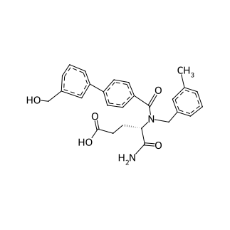 Cc1cccc(CN(C(=O)c2ccc(-c3cccc(CO)c3)cc2)[C@@H](CCC(=O)O)C(N)=O)c1